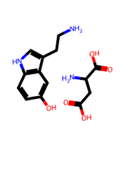 NC(CC(=O)O)C(=O)O.NCCc1c[nH]c2ccc(O)cc12